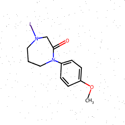 COc1ccc(N2CCCN(I)CC2=O)cc1